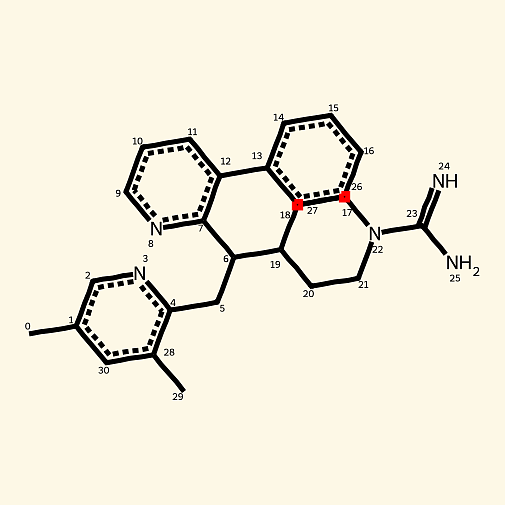 Cc1cnc(CC(c2ncccc2-c2ccccc2)C2CCN(C(=N)N)CC2)c(C)c1